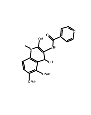 COc1ccc2c(c1OC)C(O)C(NC(=O)c1ccncc1)=C(O)N2C